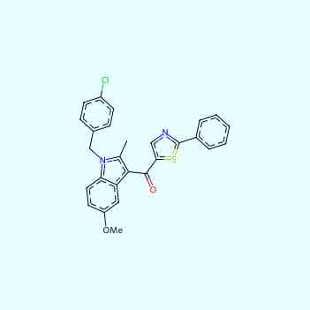 COc1ccc2c(c1)c(C(=O)c1cnc(-c3ccccc3)s1)c(C)n2Cc1ccc(Cl)cc1